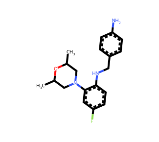 CC1CN(c2cc(F)ccc2NCc2ccc(N)cc2)CC(C)O1